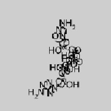 CC1C(O)[C@@H](COP(=O)(O)OP(=O)(O)OP(=O)(O)OP(=O)(O)OC[C@H]2O[C@@H](n3cnc4c(N)ncnc43)CC2O)O[C@H]1n1ccc(N)nc1=O